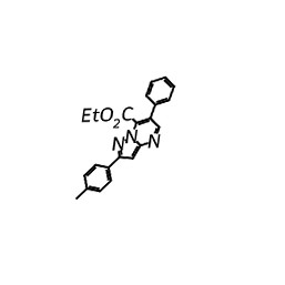 CCOC(=O)c1c(-c2ccccc2)cnc2cc(-c3ccc(C)cc3)nn12